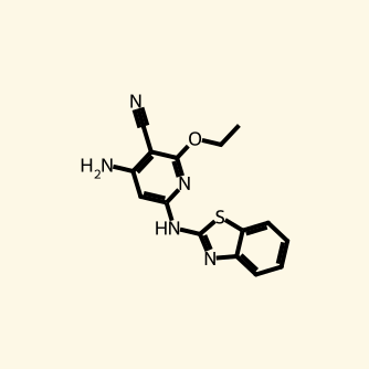 CCOc1nc(Nc2nc3ccccc3s2)cc(N)c1C#N